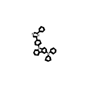 c1ccc(-c2cncc(-c3ccc(-n4c5ccccc5c5cc(N(c6ccccc6)c6ccccc6)ccc54)cc3)n2)cc1